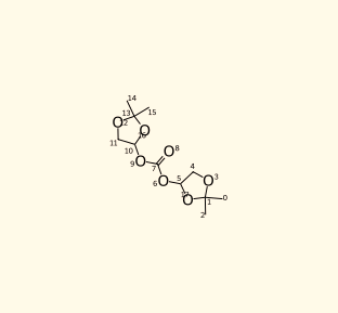 CC1(C)OCC(OC(=O)OC2COC(C)(C)O2)O1